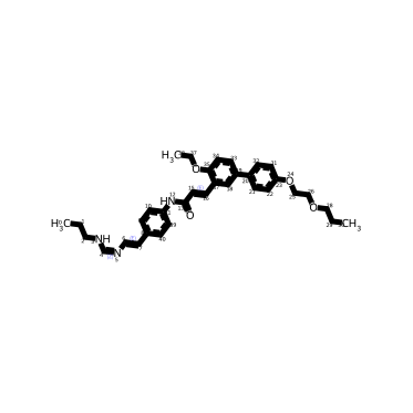 CCCN/C=N\C=C\c1ccc(NC(=O)/C=C/c2cc(-c3ccc(OCCOCCC)cc3)ccc2OCC)cc1